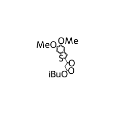 COc1cc2cc(C(=O)CC(=O)OCC(C)C)sc2cc1OC